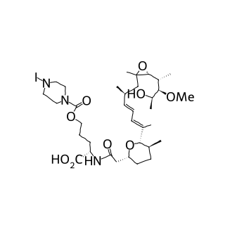 CO[C@H]([C@@H](C)[C@H]1OC1(C)C[C@H](C)/C=C/C=C(\C)[C@H]1O[C@@H](CC(=O)N[C@@H](CCCOC(=O)N2CCN(I)CC2)C(=O)O)CC[C@@H]1C)[C@@H](C)O